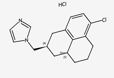 C[C@@]12CCCc3c(Cl)ccc(c31)C[C@H](Cn1ccnc1)C2.Cl